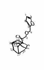 O=C(COCc1ccco1)C12CC3CC(CC(C3)C1)C2